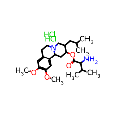 COc1cc2c(cc1OC)C1CC(OC(=O)C(N)C(C)C)C(CC(C)C)CN1CC2.Cl.Cl